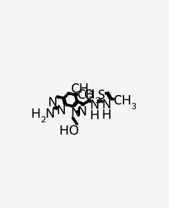 CC1=CSC(NC(=O)c2nn(CCO)c3c2C(C)(C)Cc2cnc(N)nc2-3)N1